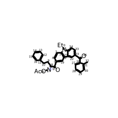 CCn1c2ccc(C(=O)/C(CCc3ccccc3)=N/OC(C)=O)cc2c2cc(C(=O)c3ccccc3C)ccc21